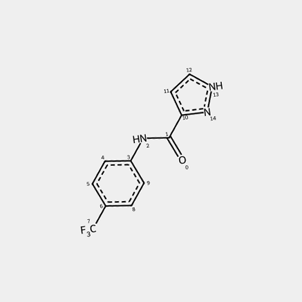 O=C(Nc1ccc(C(F)(F)F)cc1)c1cc[nH]n1